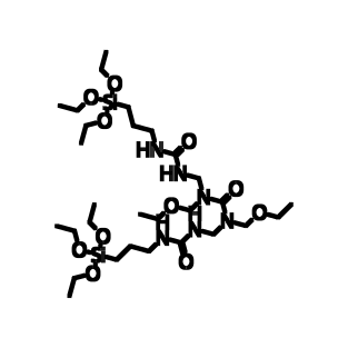 CCOCN(CNC(=O)NCCC[Si](OCC)(OCC)OCC)C(=O)N(CNC(=O)NCCC[Si](OCC)(OCC)OCC)COCC